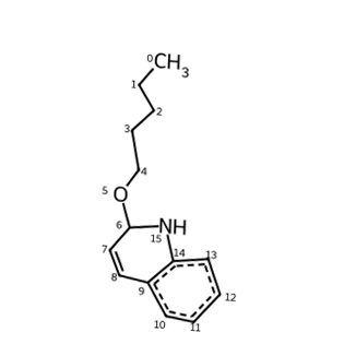 CCCCCOC1C=Cc2ccccc2N1